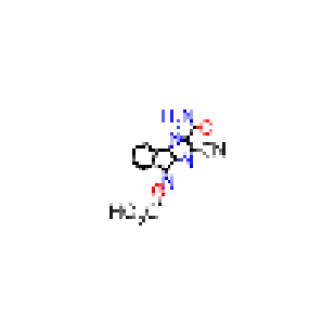 N#Cc1nc2c(nc1C(N)=O)-c1ccccc1C2=NOCC(=O)O